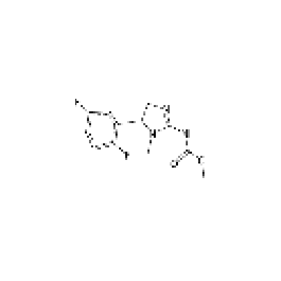 COC(=O)NC1=NCC(c2cc(F)ccc2F)N1C